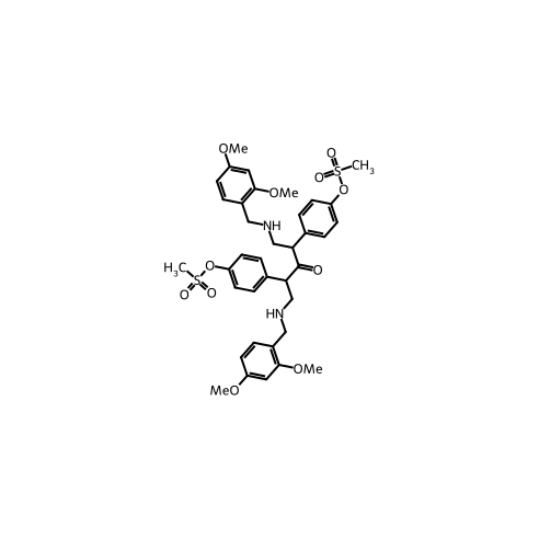 COc1ccc(CNCC(C(=O)C(CNCc2ccc(OC)cc2OC)c2ccc(OS(C)(=O)=O)cc2)c2ccc(OS(C)(=O)=O)cc2)c(OC)c1